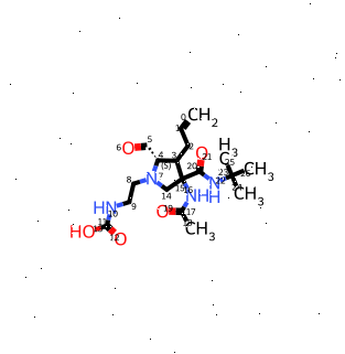 C=CCC1[C@@H](C=O)N(CCNC(=O)O)CC1(NC(C)=O)C(=O)NC(C)(C)C